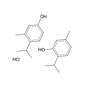 Cc1cc(O)ccc1C(C)C.Cc1ccc(C(C)C)c(O)c1.Cl